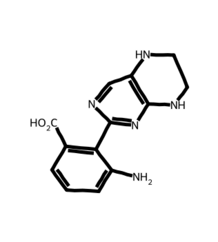 Nc1cccc(C(=O)O)c1-c1ncc2c(n1)NCCN2